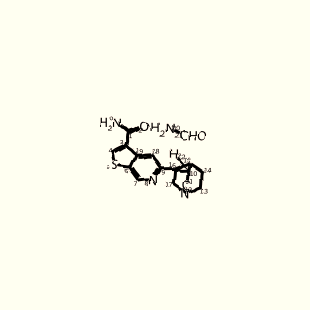 NC(=O)c1csc2cnc([C@H]3CN4CCC3CC4)cc12.NC=O